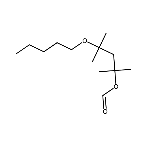 CCCCCOC(C)(C)CC(C)(C)OC=O